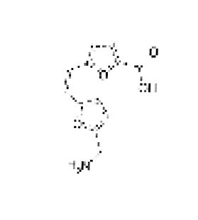 NCc1ccc(/C=C\c2ccc(C(=O)O)o2)o1